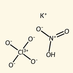 O=[N+]([O-])O.[K+].[O-][Cl+3]([O-])([O-])[O-]